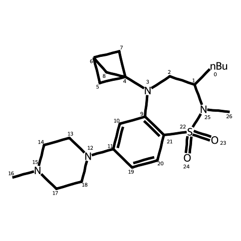 CCCCC1CN(C23CC(C2)C3)c2cc(N3CCN(C)CC3)ccc2S(=O)(=O)N1C